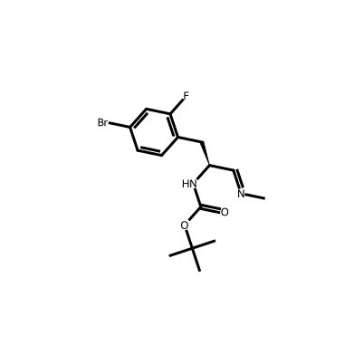 C/N=C/[C@H](Cc1ccc(Br)cc1F)NC(=O)OC(C)(C)C